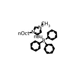 CCCCCCCCn1cc[n+](C)c1.CCCC[B-](c1ccccc1)(c1ccccc1)c1ccccc1